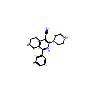 N#Cc1c(N2CCNCC2)nc(-c2ccccc2)c2c1CCCC2